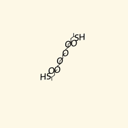 CC(S)CC(=O)OCCOCCOCCOC(=O)CC(C)S